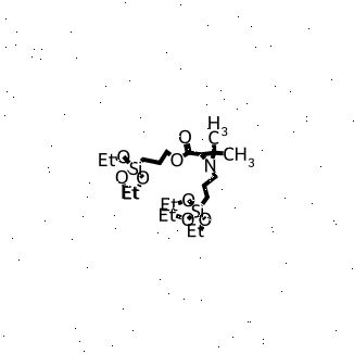 CCO[Si](CCCOC(=O)C1N(CCC[Si](OCC)(OCC)OCC)C1(C)C)(OCC)OCC